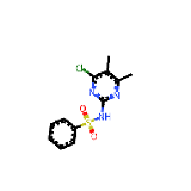 Cc1nc(NS(=O)(=O)c2ccccc2)nc(Cl)c1C